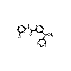 CN(c1cncnc1)c1ccnc(C(=O)Nc2cccc(Cl)n2)c1